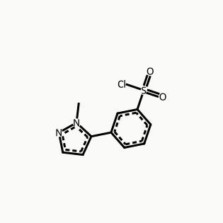 Cn1nccc1-c1cccc(S(=O)(=O)Cl)c1